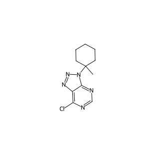 CC1(n2nnc3c(Cl)ncnc32)CCCCC1